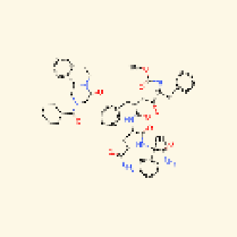 CC(C)(C)OC(=O)N[C@@H](Cc1ccccc1)C(=O)CC(Cc1ccccc1)C(=O)NC(CCC(N)=O)C(=O)NC(C)(C(N)=O)c1ccccc1.O=C(C1CCCCC1)N1CC(=O)N2CCc3ccccc3C2C1